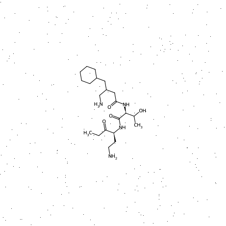 CCC(=O)[C@H](CCN)NC(=O)[C@@H](NC(=O)CC(CN)CC1CCCCC1)C(C)O